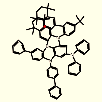 CC(C)(C)c1ccc(N2c3cc4c(cc3B3c5cc(-c6ccccc6)ccc5N(c5ccc(-c6ccccc6)cc5)c5cc(N(c6ccccc6)c6ccccc6)cc2c53)C(C)(C)CCC4(C)C)c(-c2ccc3c(c2)C(C)(C)CCC3(C)C)c1